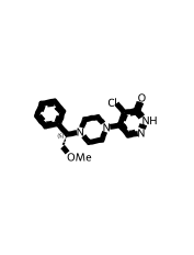 COC[C@H](c1ccccc1)N1CCN(c2cn[nH]c(=O)c2Cl)CC1